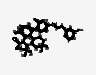 Cc1nc(OCCc2cccc(F)c2)ccc1-c1cnc(C)c(C(OC(C)(C)C)C(=O)O)c1N1CCC(C)(C)CC1